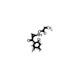 C=CC(=O)ONC1CC1C(=O)c1cc(F)c(F)cc1Cl